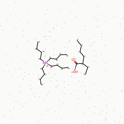 CCCCC(CC)C(=O)O.CCCC[PH](CCCC)(CCCC)CCCC